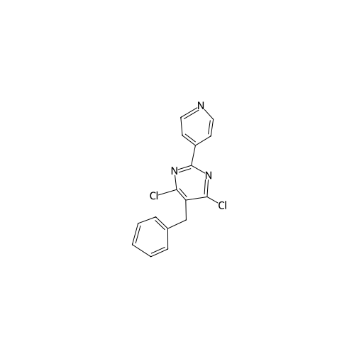 Clc1nc(-c2ccncc2)nc(Cl)c1Cc1ccccc1